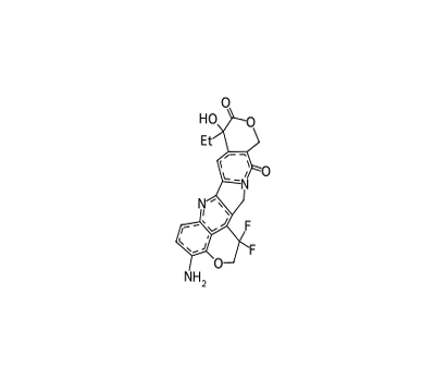 CCC1(O)C(=O)OCc2c1cc1n(c2=O)Cc2c-1nc1ccc(N)c3c1c2C(F)(F)CO3